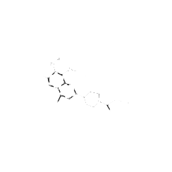 CC(C)Nc1c(F)cc2c(=O)cc(C3CCN(C(=O)OC(C)(C)C)CC3)oc2c1NS(=O)(=O)O